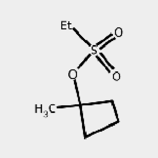 CCS(=O)(=O)OC1(C)CCC1